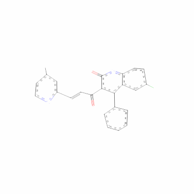 O=C(/C=C/c1cc(C(F)(F)F)ccn1)c1c(-c2ccccc2)c2cc(Cl)ccc2[nH]c1=O